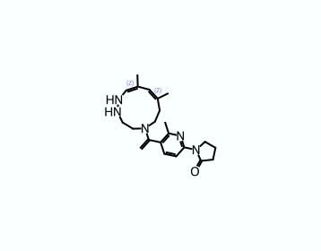 C=C(c1ccc(N2CCCC2=O)nc1C)N1CCNN/C=C(C)\C=C(\C)CC1